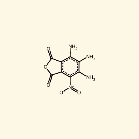 Nc1c(N)c2c(c([N+](=O)[O-])c1N)C(=O)OC2=O